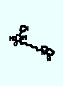 C[C@H](NC(CCCCCCCc1ccc2c(n1)NCCC2)C(=O)O)c1cccnc1